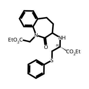 CCOC(=O)CN1C(=O)C(N[C@@H](CSc2ccccc2)C(=O)OCC)CCc2ccccc21